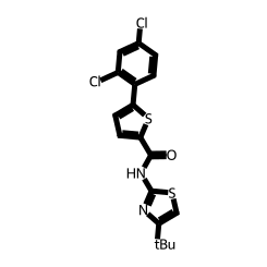 CC(C)(C)c1csc(NC(=O)c2ccc(-c3ccc(Cl)cc3Cl)s2)n1